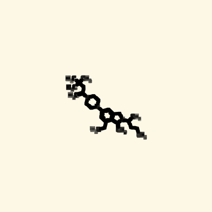 C=C(CC(C)(C)C)N1CCN(c2cc(CC)c3c(c2)CN(C(C)CCC)C3=C)CC1